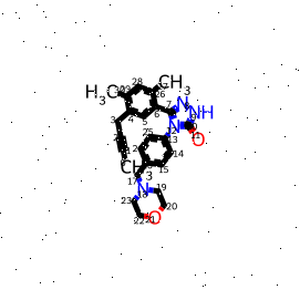 CC#CCc1cc(-c2n[nH]c(=O)n2-c2ccc(CN3CCOCC3)cc2)c(C)cc1C